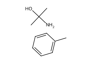 CC(C)(N)O.Cc1ccccc1